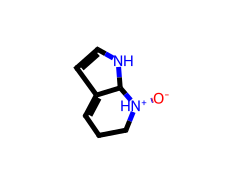 [O-][NH+]1CCC=C2C=CNC21